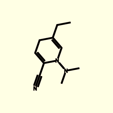 CCC1=CN(N(C)C)C(C#N)=CC1